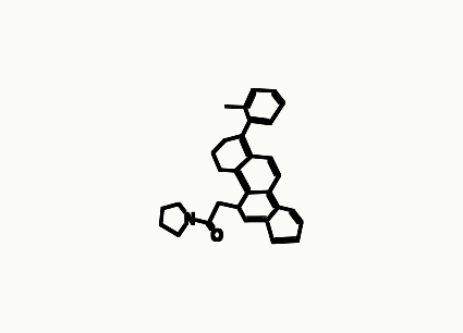 Cc1ccccc1C1=c2ccc3c(c2CCC1)C(CC(=O)N1CCCC1)C=c1ccccc1=3